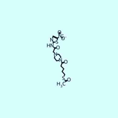 CC(=O)SCCCCC(=O)N1CCN(CC(=O)Nc2ncc([N+](=O)[O-])s2)CC1